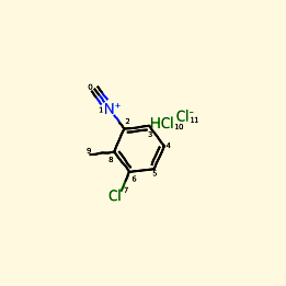 C#[N+]c1cccc(Cl)c1C.Cl.[Cl-]